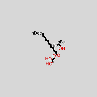 CCCCC(CC)CO.CCCCCCCCCCCCCCCCCCCCCC(=O)OCC(O)CO